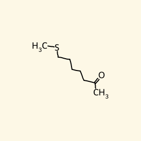 CSCCCCCC(C)=O